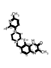 Cc1ccc(N2CCN(Cc3ccc4nc(C)c(=O)[nH]c4c3F)CC2)c(F)n1